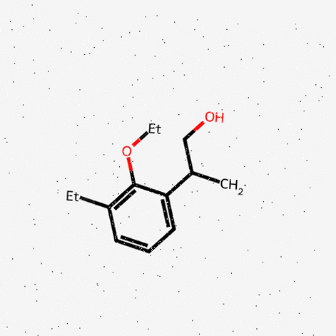 [CH2]C(CO)c1cccc(CC)c1OCC